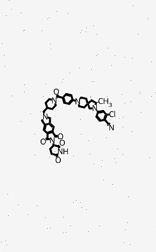 C[C@H]1CC2(CCN(c3ccc(C(=O)N4CCC(CN5Cc6cc7c(cc6C5)C(=O)N(C5CCC(=O)NC5=O)C7=O)CC4)cc3)CC2)CN1c1ccc(C#N)c(Cl)c1